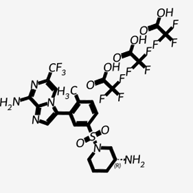 Cc1ccc(S(=O)(=O)N2CCC[C@@H](N)C2)cc1-c1cnc2c(N)nc(C(F)(F)F)cn12.O=C(O)C(F)(F)F.O=C(O)C(F)(F)F.O=C(O)C(F)(F)F